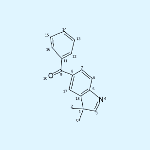 CC1(C)C=Nc2ccc(C(=O)c3ccccc3)cc21